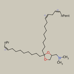 CCC/C=C\CCCCCCCCC1(CCCCCCCC/C=C\C/C=C\CCCCC)OCC(CN(C)C)O1